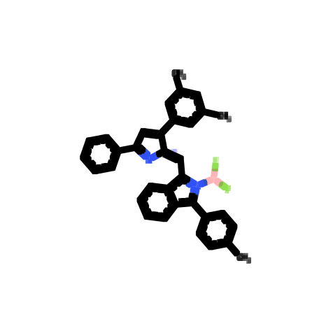 Cc1ccc(-c2c3ccccc3c(/C=C3\N=C(c4ccccc4)C=C3c3cc(C)cc(C)c3)n2B(F)F)cc1